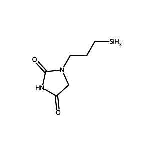 O=C1CN(CCC[SiH3])C(=O)N1